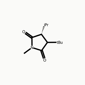 CC(C)[C@H]1C(=O)N(C)C(=O)C1C(C)(C)C